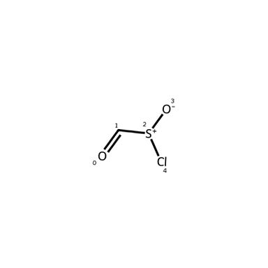 O=C[S+]([O-])Cl